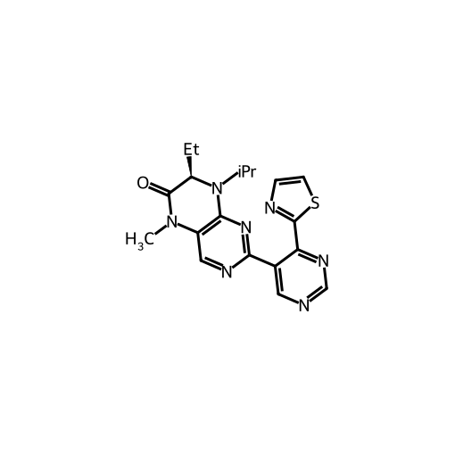 CC[C@@H]1C(=O)N(C)c2cnc(-c3cncnc3-c3nccs3)nc2N1C(C)C